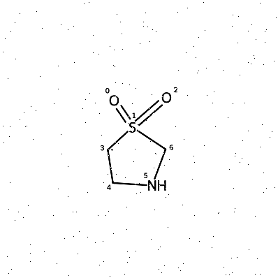 O=S1(=O)[CH]CNC1